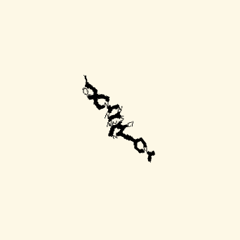 CC(C)N1CCC(C#Cc2nccc(Sc3ncc(N4CCC5(CC4)CO[C@@H](C)C5)nc3N)c2Cl)CC1